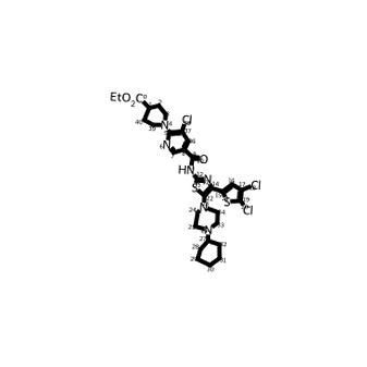 CCOC(=O)C1CCN(c2ncc(C(=O)Nc3nc(-c4cc(Cl)c(Cl)s4)c(N4CCN(C5CCCCC5)CC4)s3)cc2Cl)CC1